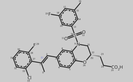 C/C(=C\c1ccc2c(c1)N(S(=O)(=O)c1cc(C)cc(F)c1)C[C@H](CCC(=O)O)O2)c1c(F)cccc1Cl